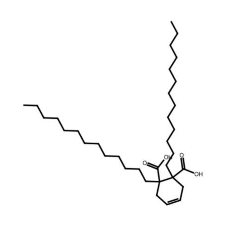 CCCCCCCCCCCCCC1(C(=O)O)CC=CCC1(CCCCCCCCCCCCC)C(=O)O